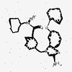 CCCN(C(=O)c1cccc(Cn2c(N)nc3ccc(Oc4ccccc4)cc32)c1)C1CCCCC1